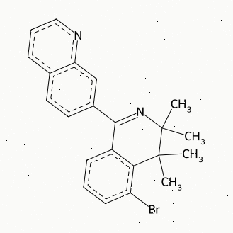 CC1(C)N=C(c2ccc3cccnc3c2)c2cccc(Br)c2C1(C)C